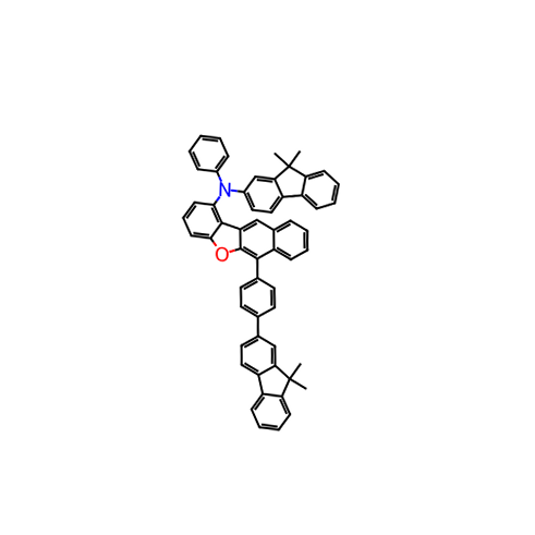 CC1(C)c2ccccc2-c2ccc(-c3ccc(-c4c5ccccc5cc5c4oc4cccc(N(c6ccccc6)c6ccc7c(c6)C(C)(C)c6ccccc6-7)c45)cc3)cc21